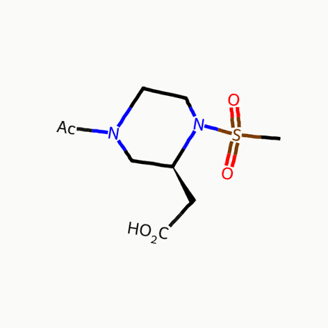 CC(=O)N1CCN(S(C)(=O)=O)[C@@H](CC(=O)O)C1